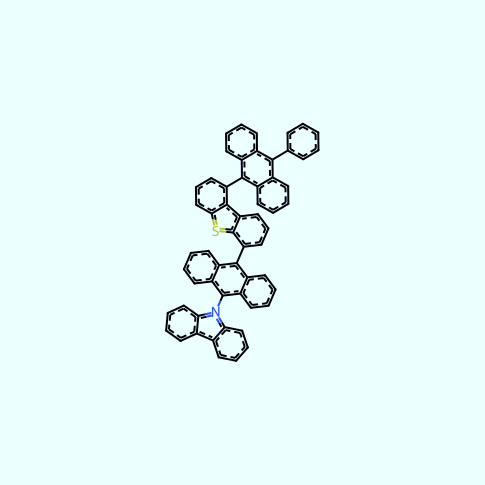 c1ccc(-c2c3ccccc3c(-c3cccc4sc5c(-c6c7ccccc7c(-n7c8ccccc8c8ccccc87)c7ccccc67)cccc5c34)c3ccccc23)cc1